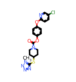 Cn1nnnc1SC1CCN(C(=O)Oc2ccc(Oc3ccc(Cl)cn3)cc2)CC1